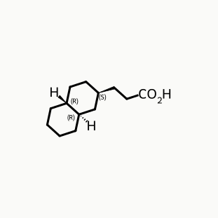 O=C(O)CC[C@@H]1CC[C@H]2CCCC[C@@H]2C1